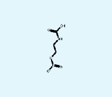 O=C(O)NCCO[N+](=O)[O-]